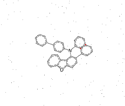 c1ccc(-c2ccc(N(c3ccccc3)c3c(-c4ccccc4)ccc4oc5ccccc5c34)cc2)cc1